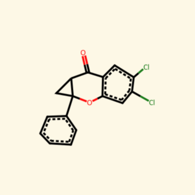 O=C1c2cc(Cl)c(Cl)cc2OC2(c3ccccc3)CC12